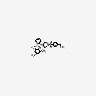 CCc1ccc(S(=O)(=O)N2CCC(N(c3ccccn3)S(=O)(=O)c3c(C)cc(C)cc3C)CC2)cc1